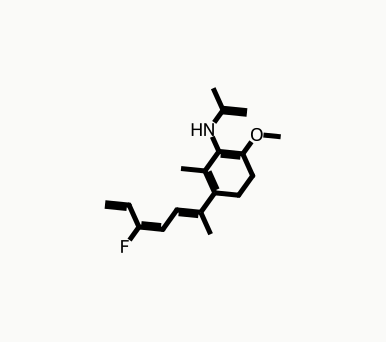 C=C/C(F)=C\C=C(/C)C1=C(C)C(NC(=C)C)=C(OC)CC1